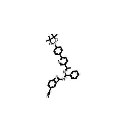 C/C(=N\C(=N/C1=Nc2ccc(C#N)cc21)c1ccccc1)c1ccc(-c2ccc(B3OC(C)(C)C(C)(C)O3)cc2)nc1